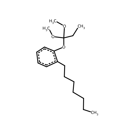 CCCCCCCc1ccccc1OC(CC)(OC)OC